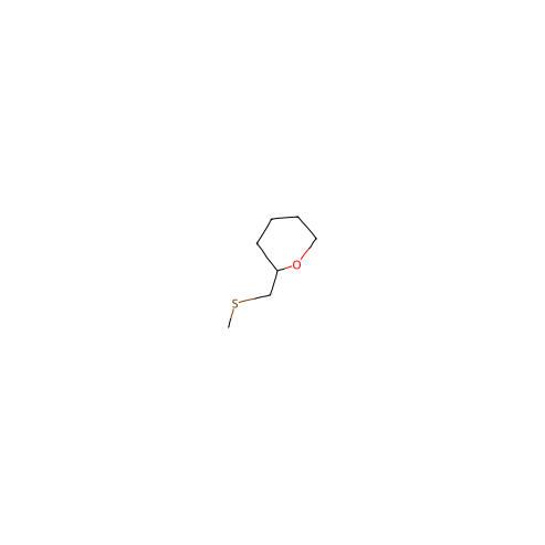 CSCC1CCCCO1